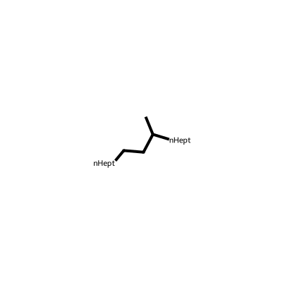 [CH2]CCCCCCC(C)CCCCCCCCC